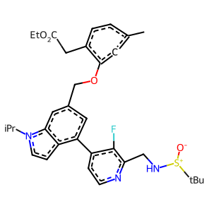 CCOC(=O)Cc1ccc(C)cc1OCc1cc(-c2ccnc(CN[S+]([O-])C(C)(C)C)c2F)c2ccn(C(C)C)c2c1